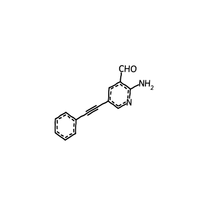 Nc1ncc(C#Cc2ccccc2)cc1C=O